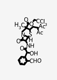 CC(=O)C(CC1S[C@@H]2C(NC(=O)C(O)c3ccccc3C=O)C(=O)N2CC1(C)C(=O)OCC(Cl)(Cl)Cl)C(C)=O